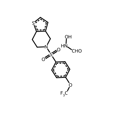 O=CNO.O=S(=O)(c1ccc(OC(F)(F)F)cc1)N1CCc2sccc2C1